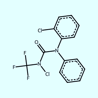 O=C(N(c1ccccc1)c1ccccc1Cl)N(Cl)C(F)(F)F